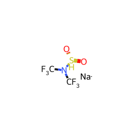 O=[SH](=O)N(C(F)(F)F)C(F)(F)F.[Na]